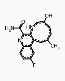 Cc1ccc(O)c[nH]c2c(C(N)=O)nc3ccc(F)cc3c2c1